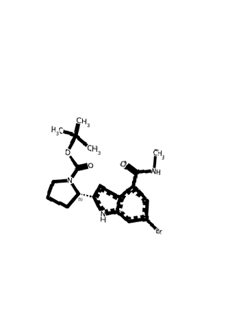 CNC(=O)c1cc(Br)cc2[nH]c([C@@H]3CCCN3C(=O)OC(C)(C)C)cc12